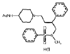 CC(=O)NC1CCN(CCC(CN(C)S(=O)(=O)c2ccccc2)c2ccccc2)CC1.Cl